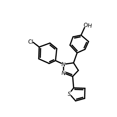 Oc1ccc(C2CC(c3cccs3)=NN2c2ccc(Cl)cc2)cc1